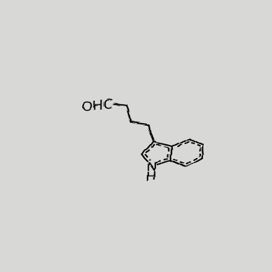 O=CCCCc1c[nH]c2ccccc12